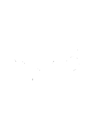 O=C1CC[C@@H](C(=O)NC[C@H](Br)Cc2cccc(C(F)(F)F)c2Cl)N1